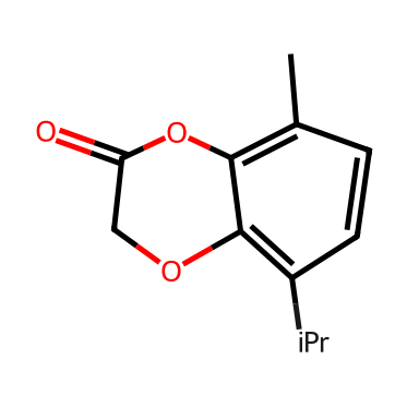 Cc1ccc(C(C)C)c2c1OC(=O)CO2